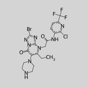 CCc1c(N2CCNCC2)c(=O)n2nc(Br)nc2n1CC(=O)Nc1ccc(C(F)(F)F)nc1Cl